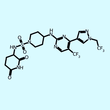 O=C1CCC(NS(=O)(=O)N2CCC(Nc3ncc(C(F)(F)F)c(-c4cnn(CC(F)(F)F)c4)n3)CC2)C(=O)N1